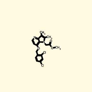 COC(=O)Cn1c(C)c(C)c2nccc(OCc3ccc(Cl)cc3Cl)c21